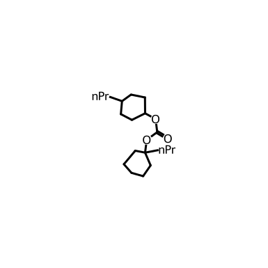 CCCC1CCC(OC(=O)OC2(CCC)CCCCC2)CC1